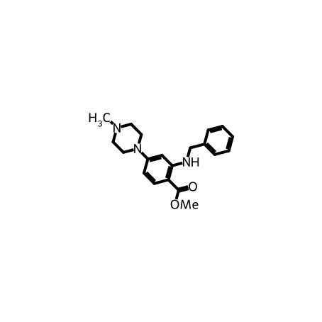 COC(=O)c1ccc(N2CCN(C)CC2)cc1NCc1ccccc1